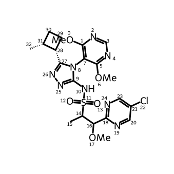 COc1ncnc(OC)c1-n1c(NS(=O)(=O)C(C)C(OC)c2ncc(Cl)cn2)nnc1[C@H]1CC[C@H]1C